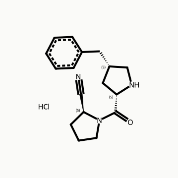 Cl.N#C[C@@H]1CCCN1C(=O)[C@@H]1C[C@H](Cc2ccccc2)CN1